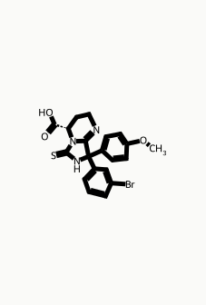 COc1ccc(C2(c3cccc(Br)c3)NC(=S)N3C2=NCC[C@H]3C(=O)O)cc1